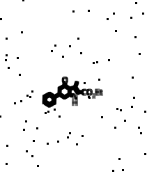 CCOC(=O)C1=C(C)C2C(=O)CC(c3ccccc3)CC2N1